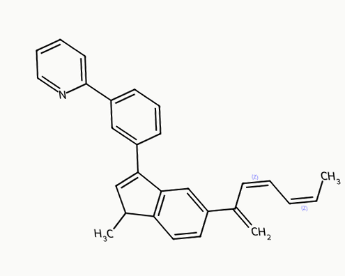 C=C(/C=C\C=C/C)c1ccc2c(c1)C(c1cccc(-c3ccccn3)c1)=CC2C